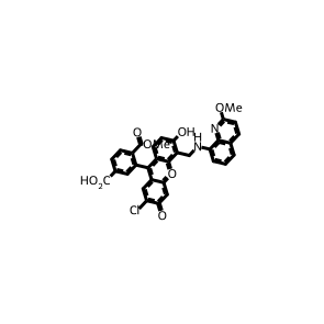 COC(=O)c1ccc(C(=O)O)cc1-c1c2cc(Cl)c(=O)cc-2oc2c(CNc3cccc4ccc(OC)nc34)c(O)ccc12